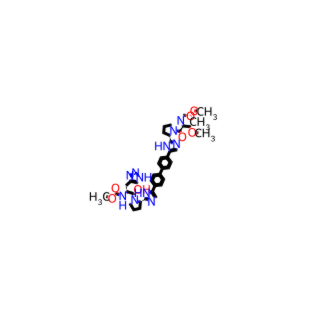 COO/C=N\[C@H](C(=O)N1CCC[C@H]1c1ncc(-c2ccc(-c3ccc(-c4cnc([C@@H]5CCCN5C(O)[C@@H](Cc5c[nH]nn5)NC(=O)OC)[nH]4)cc3)cc2)[nH]1)[C@@H](C)OC